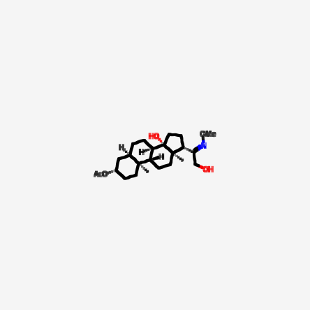 CO/N=C(/CO)[C@H]1CC[C@]2(O)[C@@H]3CC[C@@H]4C[C@@H](OC(C)=O)CC[C@]4(C)[C@H]3CC[C@]12C